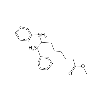 COC(=O)CCCCCC([SiH2]c1ccccc1)[SiH2]c1ccccc1